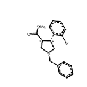 COC(=O)[C@@H]1CN(Cc2ccccc2)C[C@H]1c1ccccc1Br